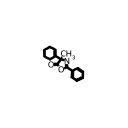 C[C@@]1(C2=CCCCC2)N=C(c2ccccc2)OC1=O